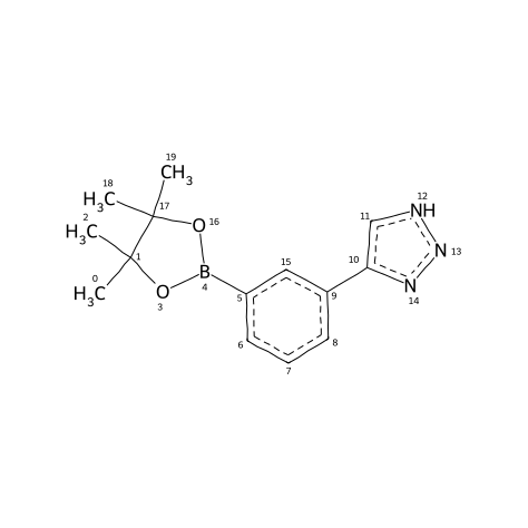 CC1(C)OB(c2cccc(-c3c[nH]nn3)c2)OC1(C)C